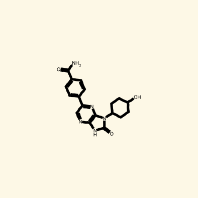 NC(=O)c1ccc(-c2cnc3[nH]c(=O)n(C4CCC(O)CC4)c3n2)cc1